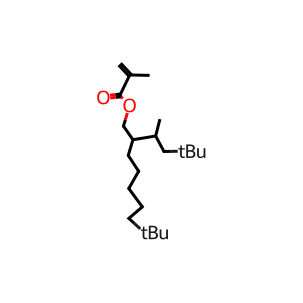 C=C(C)C(=O)OCC(CCCCCC(C)(C)C)C(C)CC(C)(C)C